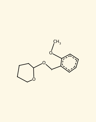 COc1ccccc1[CH]OC1CCCCO1